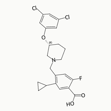 O=C(O)c1cc(C2CC2)c(CN2CCC[C@@H](Oc3cc(Cl)cc(Cl)c3)C2)cc1F